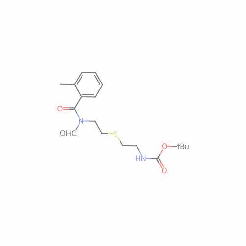 Cc1ccccc1C(=O)N(C=O)CCSCCNC(=O)OC(C)(C)C